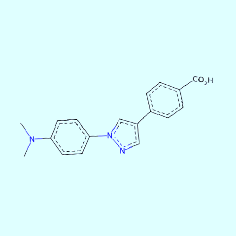 CN(C)c1ccc(-n2cc(-c3ccc(C(=O)O)cc3)cn2)cc1